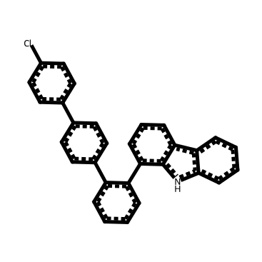 Clc1ccc(-c2ccc(-c3ccccc3-c3cccc4c3[nH]c3ccccc34)cc2)cc1